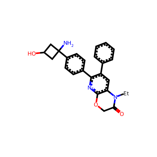 CCN1C(=O)COc2nc(-c3ccc(C4(N)CC(O)C4)cc3)c(-c3ccccc3)cc21